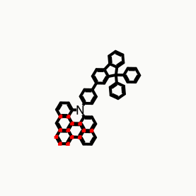 C1=c2cccc(-c3ccccc3)c2=C(c2ccccc2N(c2ccc(-c3ccc4c(c3)C(c3ccccc3)(c3ccccc3)c3ccccc3-4)cc2)c2ccccc2-c2cccc3ccccc23)CC1